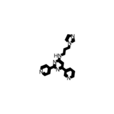 c1cncc(-c2cc(NCCCn3ccnc3)nc(-c3ccncc3)n2)c1